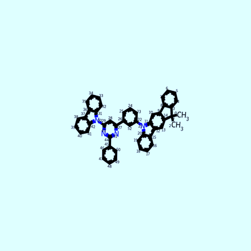 CC1(C)c2ccccc2-c2cc3c(cc21)c1ccccc1n3-c1cccc(-c2cc(-n3c4ccccc4c4ccccc43)nc(-c3ccccc3)n2)c1